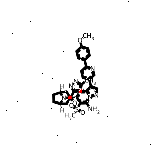 COc1ccc(-c2ccc(-c3cnn4c(N)c(S(C)(=O)=O)c([C@H]5C[C@H]6CC[C@@H](C5)N6C(=O)c5nnc(C)[nH]5)nc34)cn2)cc1